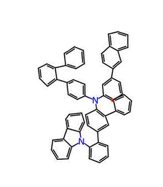 c1ccc(-c2ccccc2-c2ccc(N(c3cccc(-c4ccc5ccccc5c4)c3)c3ccc(-c4ccccc4-n4c5ccccc5c5ccccc54)cc3-c3ccccc3)cc2)cc1